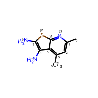 Cc1cc(C(F)(F)F)c2c(N)c(N)sc2n1